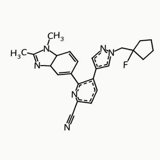 CC1=NC2C=C(c3nc(C#N)ccc3-c3cnn(CC4(F)CCCC4)c3)C=CC2N1C